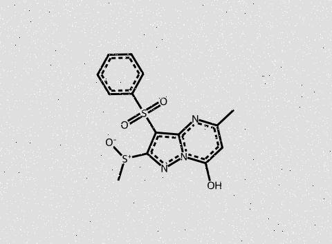 Cc1cc(O)n2nc([S+](C)[O-])c(S(=O)(=O)c3ccccc3)c2n1